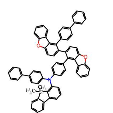 C[Si]1(C)c2ccccc2-c2cccc(N(c3ccc(-c4ccccc4)cc3)c3ccc(-c4c(-c5ccc6oc7ccccc7c6c5-c5ccc(-c6ccccc6)cc5)ccc5oc6ccccc6c45)cc3)c21